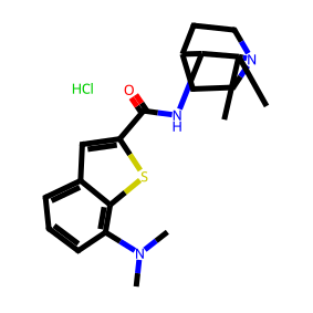 CN(C)c1cccc2cc(C(=O)NC3C4CCN(CC4)C3(C)C)sc12.Cl